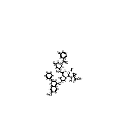 C=C[C@@H]1C[C@]1(NC(=O)[C@@H]1C[C@@H](Oc2cc(-c3ccccc3)nc3cc(OC)ccc23)CN1C(=O)N[C@H](CNC(=O)c1cccc(F)c1)CC(C)C)C(=O)O